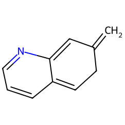 C=C1C=c2ncccc2=CC1